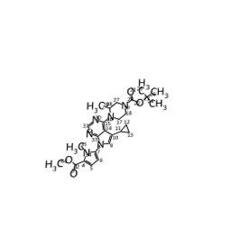 COC(=O)c1ccc(-n2cc(C3CC3)c3c(N4CCN(C(=O)OC(C)(C)C)CC4C)ncnc32)n1C